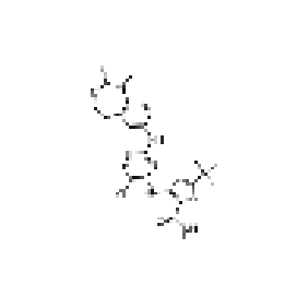 CNC(=O)c1sc(C(C)(C)C)cc1Nc1nc(Nc2ccc3c(c2)CCOC(=O)N3C)ncc1Cl